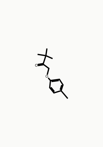 Cc1ccc(OCC(=O)C(C)(C)C)cc1